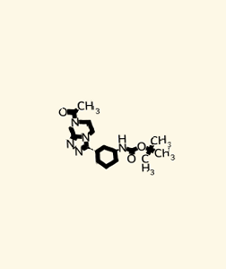 CC(=O)N1CCn2c(nnc2[C@H]2CCC[C@@H](NC(=O)OC(C)(C)C)C2)C1